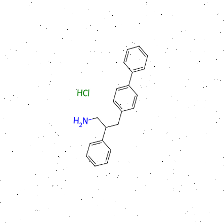 Cl.NCC(Cc1ccc(-c2ccccc2)cc1)c1ccccc1